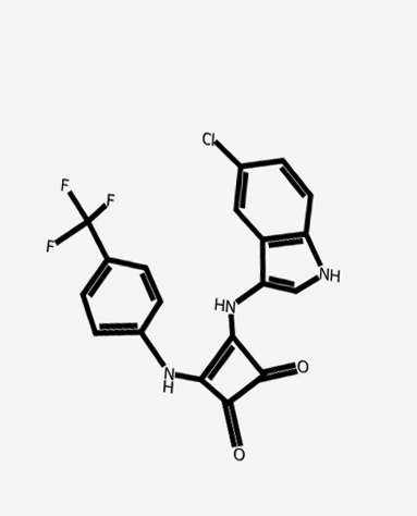 O=c1c(Nc2ccc(C(F)(F)F)cc2)c(Nc2c[nH]c3ccc(Cl)cc23)c1=O